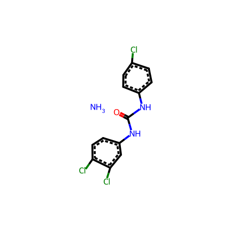 N.O=C(Nc1ccc(Cl)cc1)Nc1ccc(Cl)c(Cl)c1